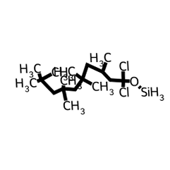 CC(CC(C)(C)CC(C)(C)CC(C)(C)C)CC(Cl)(Cl)O[SiH3]